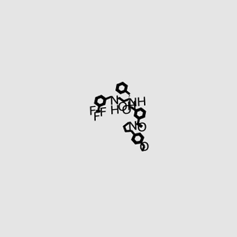 COc1ccc(C2CCCN2C(=O)c2cccc(C(=O)N[C@@H](Cc3ccccc3)[C@@H](O)CNCc3cccc(C(F)(F)F)c3)c2)cc1